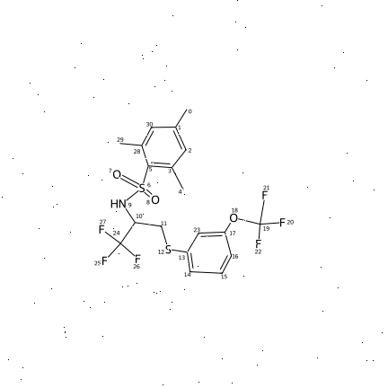 Cc1cc(C)c(S(=O)(=O)NC(CSc2cccc(OC(F)(F)F)c2)C(F)(F)F)c(C)c1